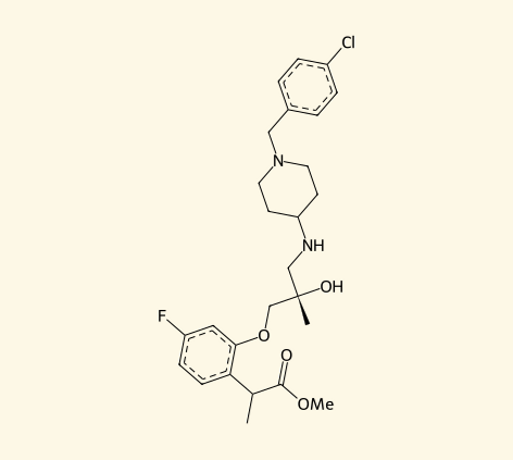 COC(=O)C(C)c1ccc(F)cc1OC[C@@](C)(O)CNC1CCN(Cc2ccc(Cl)cc2)CC1